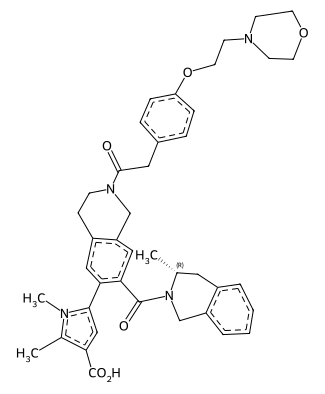 Cc1c(C(=O)O)cc(-c2cc3c(cc2C(=O)N2Cc4ccccc4C[C@H]2C)CN(C(=O)Cc2ccc(OCCN4CCOCC4)cc2)CC3)n1C